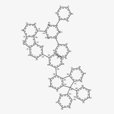 c1ccc(-c2nc(-c3ccccc3)nc(-c3cccc4oc5ccc(-c6cccc(-c7cccc8c7-c7ccccc7C8(c7ccccc7)c7ccccc7)c6)cc5c34)n2)cc1